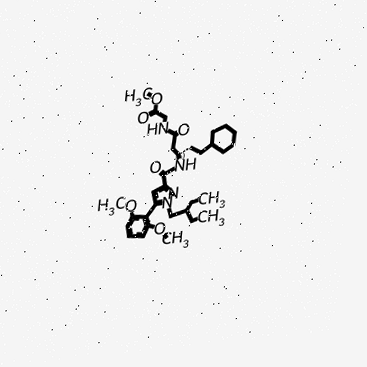 CCC(CC)Cn1nc(C(=O)N[C@@H](CCC2CCCCC2)CC(=O)NCC(=O)OC)cc1-c1c(OC)cccc1OC